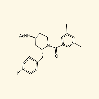 CC(=O)N[C@H]1CCN(C(=O)c2cc(C)cc(C)c2)[C@H](Cc2ccc(I)cc2)C1